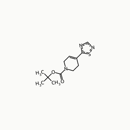 CC(C)(C)OC(=O)N1CC=C(c2ncns2)CC1